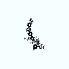 CC(C)c1cc(F)ccc1N1CCS/C1=N\C(=O)NC(C)C(C)c1ccc(-c2ncn(-c3ccc(OC(F)(F)F)cc3)n2)cc1